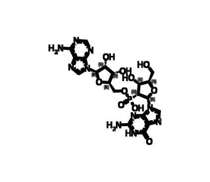 Nc1nc2c(ncn2[C@@H]2O[C@H](CO)[C@H](O)[C@H]2P(=O)(O)OC[C@H]2O[C@@H](n3cnc4c(N)ncnc43)[C@H](O)[C@@H]2O)c(=O)[nH]1